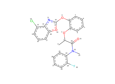 CC(Oc1ccccc1Oc1nc2c(Cl)cccc2o1)C(=O)N(C)c1ccccc1F